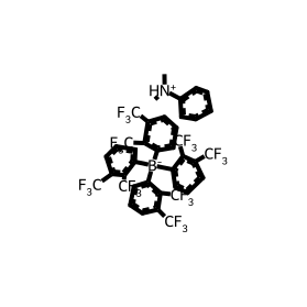 C[NH+](C)c1ccccc1.FC(F)(F)c1cccc([B-](c2cccc(C(F)(F)F)c2C(F)(F)F)(c2cccc(C(F)(F)F)c2C(F)(F)F)c2cccc(C(F)(F)F)c2C(F)(F)F)c1C(F)(F)F